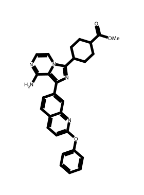 COC(=O)C1CCC(c2nc(-c3ccc4ccc(Oc5ccccc5)nc4c3)c3c(N)nccn23)CC1